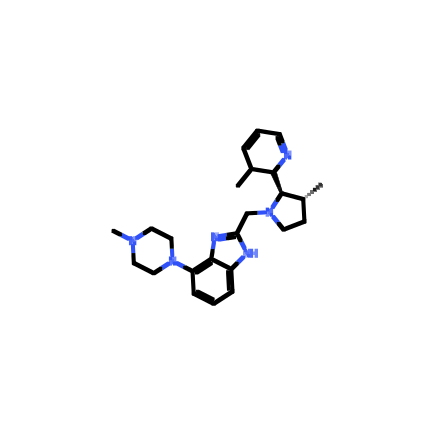 CC1C=CC=NC1[C@H]1[C@H](C)CCN1Cc1nc2c(N3CCN(C)CC3)cccc2[nH]1